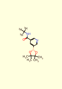 [2H]C([2H])([2H])NC(=O)c1cncc(B2OC(C)(C)C(C)(C)O2)c1